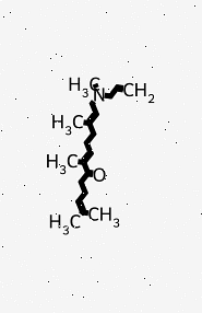 C=CCN(C)C/C=C(\C)CC/C=C(\C)C(=O)CCC=C(C)C